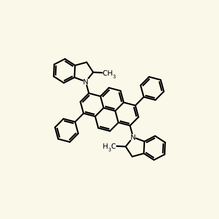 CC1Cc2ccccc2N1c1cc(-c2ccccc2)c2ccc3c(N4c5ccccc5CC4C)cc(-c4ccccc4)c4ccc1c2c43